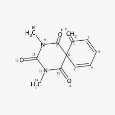 C=C1C=CC=CC12C(=O)N(C)C(=O)N(C)C2=O